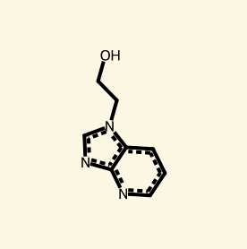 OCCn1cnc2ncccc21